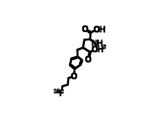 NC(CC(Cc1ccc(OCCC[18F])cc1)C(=O)O)C(=O)O